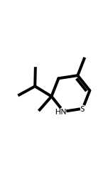 CC1=CSNC(C)(C(C)C)C1